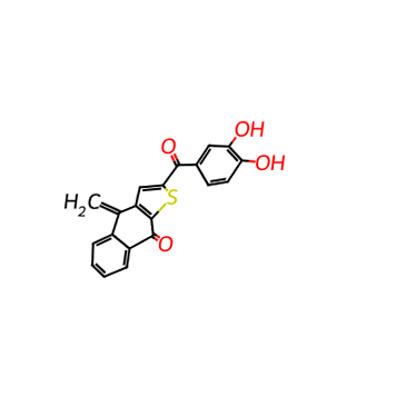 C=C1c2ccccc2C(=O)c2sc(C(=O)c3ccc(O)c(O)c3)cc21